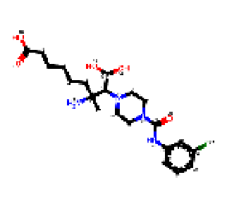 CC(N)(CCCCCC(=O)O)C(B(O)O)N1CCN(C(=O)Nc2cccc(F)c2)CC1